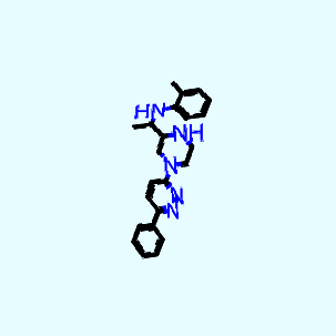 Cc1ccccc1NC(C)C1CN(c2ccc(-c3ccccc3)nn2)CCN1